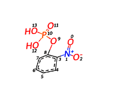 O=[N+]([O-])c1ccccc1OP(=O)(O)O